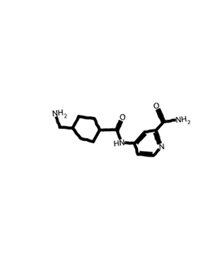 NCC1CCC(C(=O)Nc2ccnc(C(N)=O)c2)CC1